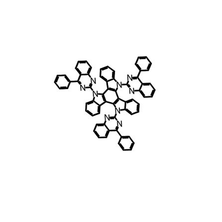 c1ccc(-c2nc(-n3c4ccccc4c4c3c3c5ccccc5n(-c5nc(-c6ccccc6)c6ccccc6n5)c3c3c5ccccc5n(-c5nc(-c6ccccc6)c6ccccc6n5)c43)nc3ccccc23)cc1